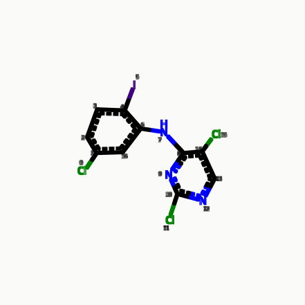 Clc1ccc(I)c(Nc2nc(Cl)ncc2Cl)c1